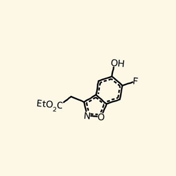 CCOC(=O)Cc1noc2cc(F)c(O)cc12